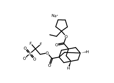 CCC1(OC(=O)C23C[C@@H]4C[C@@H](CC(C(=O)OCC(F)(F)S(=O)(=O)[O-])(C4)C2)C3)CCCC1.[Na+]